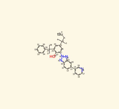 CC(C)(C)CC(C)(C)c1cc(-n2nc3ccc(-c4cccnc4)cc3n2)c(O)c(C(C)(C)c2ccccc2)c1